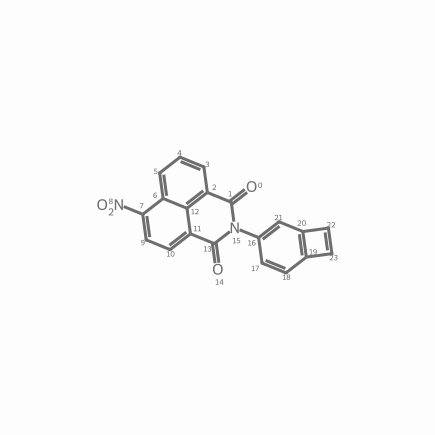 O=C1c2cccc3c([N+](=O)[O-])ccc(c23)C(=O)N1c1ccc2c(c1)C=C2